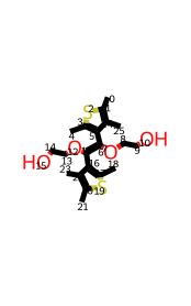 Cc1sc(C)c(C(OCCO)=C(OCCO)c2c(C)sc(C)c2C)c1C